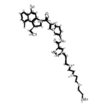 COCCOCCOCCOCCn1cc(C(=O)Nc2ccc3nc(C(=O)N4C[C@@H](CCl)c5c4cc(O)c4cccc(C)c54)cn3c2)nn1